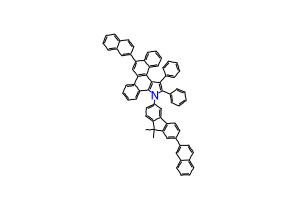 CC1(C)c2ccc(-n3c(-c4ccccc4)c(-c4ccccc4)c4c5c6ccccc6c(-c6ccc7ccccc7c6)cc5c5ccccc5c43)cc2-c2ccc(-c3ccc4ccccc4c3)cc21